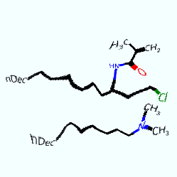 C=C(C)C(=O)NC(CCCl)CCCCCCCCCCCCCCCC.CCCCCCCCCCCCCCCCN(C)C